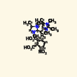 CC1CN(C)C(C)N1C.CC1CN(C)C(C)N1C.O=C(O)c1cccc([N+](=O)[O-])c1C(=O)O